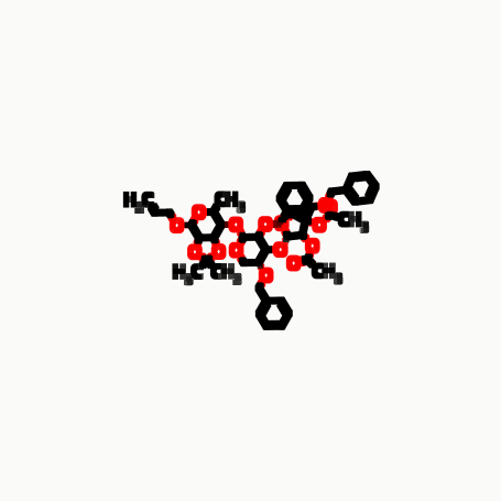 C=CCO[C@@H]1OC(C)[C@H](O[C@@H]2OC[C@@H](OCc3ccccc3)C(O[C@@H]3OCC(COCc4ccccc4)(OC(C)=O)C3OC(C)=O)C2OCc2ccccc2)C2OC(C)(C)OC21